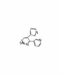 [Sm].c1cncc(-c2cccnc2-c2cccnc2)c1